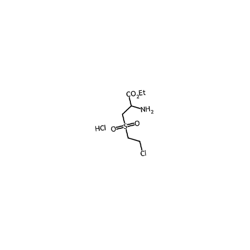 CCOC(=O)C(N)CS(=O)(=O)CCCl.Cl